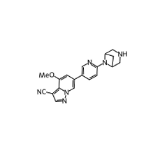 COc1cc(-c2ccc(N3C4CNCC3C4)nc2)cn2ncc(C#N)c12